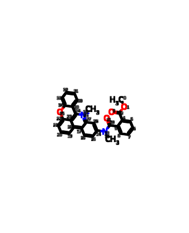 COC(=O)c1ccccc1C(=O)N(C)c1ccc2c3cccc4c3c([n+](C)c2c1)-c1ccccc1O4